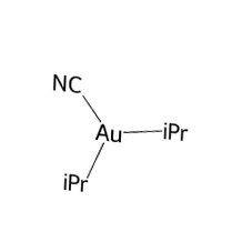 C[CH](C)[Au]([C]#N)[CH](C)C